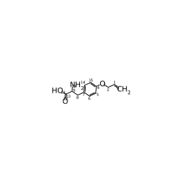 C=CCOc1ccc(CC(N)C(=O)O)cc1